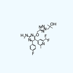 Cc1cc(-c2c(OCc3nnn(CC(C)(C)O)n3)nc(N)nc2-c2ccc(F)cc2)cc(C(F)F)n1